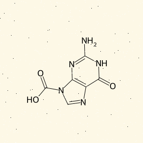 Nc1nc2c(ncn2C(=O)O)c(=O)[nH]1